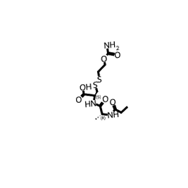 CCC(=O)N[C@H](C)C(=O)N[C@H](CSSCCOC(N)=O)C(=O)O